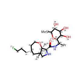 CSC1O[C@H]([C@H](NC(=O)[C@H]2NC[C@@H]3C[C@H](CCCF)CCO[C@H]32)C(C)C)C(O)C(O)[C@H]1O